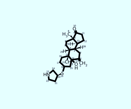 C=C1C[C@@H]2[C@@H](CC[C@]3(C)C(=O)CC[C@@H]23)[C@@]2(C)CCC(S[C@H]3CCNC3)CC12O